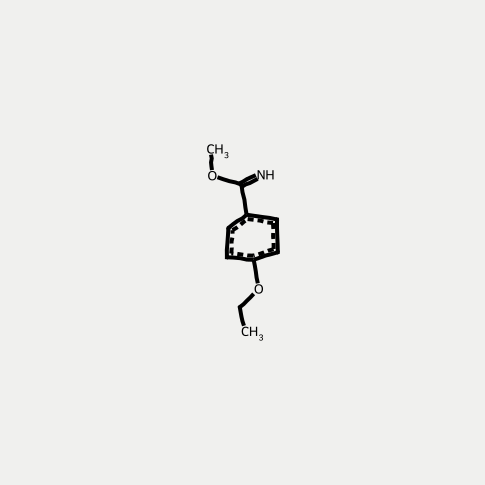 CCOc1ccc(C(=N)OC)cc1